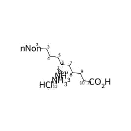 C=C.CCCCCCCCCCCCCCCCCC(=O)O.Cl.N.N